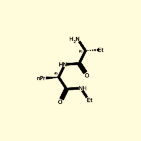 CCC[C@@H](NC(=O)[C@H](N)CC)C(=O)NCC